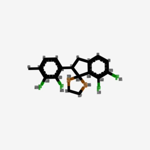 Cc1ccc(C2Cc3ccc(F)c(F)c3C23SCCS3)c(F)c1F